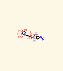 [N-]=[N+]=Nc1ccc(NCCC(O)C(O)CCN2C[C@H](O)[C@@H](O)[C@H](O)[C@H]2CO)c([N+](=O)[O-])c1